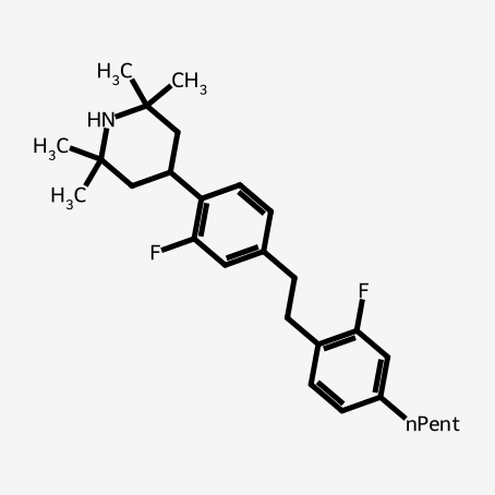 CCCCCc1ccc(CCc2ccc(C3CC(C)(C)NC(C)(C)C3)c(F)c2)c(F)c1